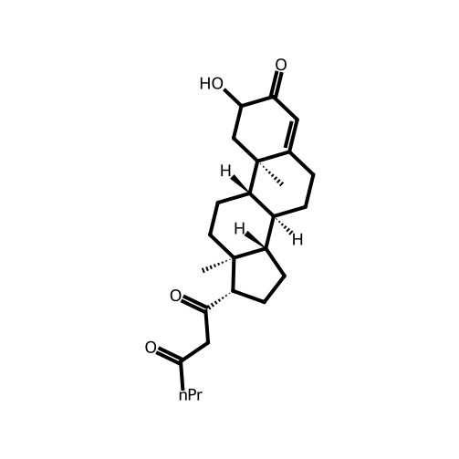 CCCC(=O)CC(=O)[C@H]1CC[C@H]2[C@@H]3CCC4=CC(=O)C(O)C[C@]4(C)[C@H]3CC[C@]12C